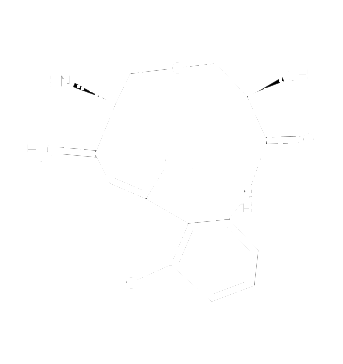 C=C1/C=C(\C)c2c(C)cccc2NC(=O)[C@H](C)CCC[C@@H]1N